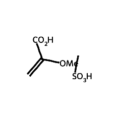 C=C(OC)C(=O)O.CS(=O)(=O)O